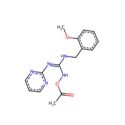 COc1ccccc1CNC(=Nc1ncccn1)NOC(C)=O